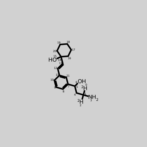 [2H]C([2H])(N)CC(O)c1cccc(/C=C/C2(O)CCCCC2)c1